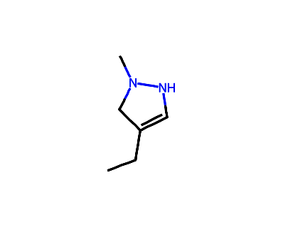 CCC1=CNN(C)C1